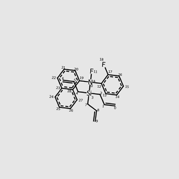 C=CC[Si](CC=C)(CC=C)[N+](F)(c1ccc[c]c1F)c1cccc2ccccc12